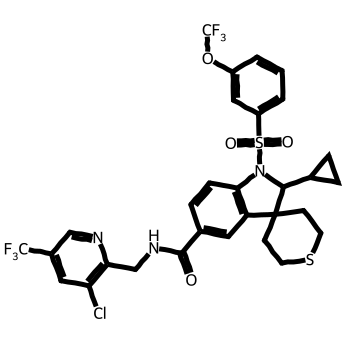 O=C(NCc1ncc(C(F)(F)F)cc1Cl)c1ccc2c(c1)C1(CCSCC1)C(C1CC1)N2S(=O)(=O)c1cccc(OC(F)(F)F)c1